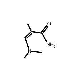 CC(=CN(C)C)C(N)=O